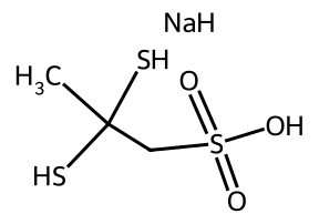 CC(S)(S)CS(=O)(=O)O.[NaH]